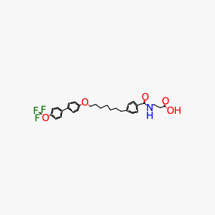 O=C(O)CCNC(=O)c1ccc(CCCCCCCOc2ccc(-c3ccc(OC(F)(F)F)cc3)cc2)cc1